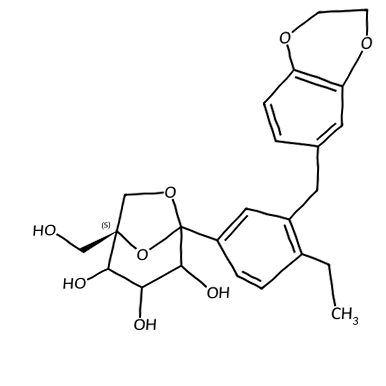 CCc1ccc(C23OC[C@](CO)(O2)C(O)C(O)C3O)cc1Cc1ccc2c(c1)OCCO2